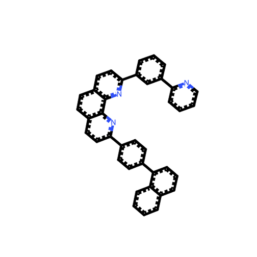 c1ccc(-c2cccc(-c3ccc4ccc5ccc(-c6ccc(-c7cccc8ccccc78)cc6)nc5c4n3)c2)nc1